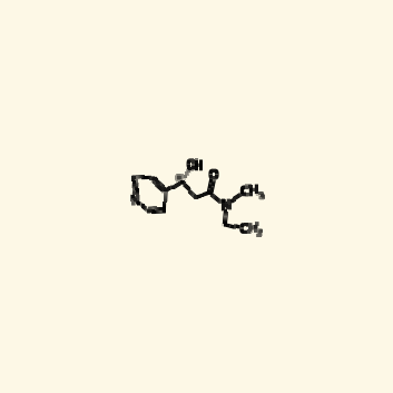 CCN(C)C(=O)C[C@@H](O)c1ccncc1